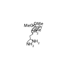 C=CCC(N)CN.CCC[Si](OC)(OC)OC